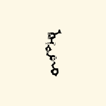 O=C(NC1CN(Cc2cnn(CCc3ccccc3)c2)C1)c1cc(C2CC2)cnn1